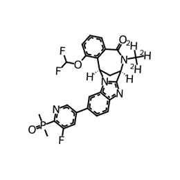 [2H]C([2H])([2H])N1C(=O)c2cccc(OC(F)F)c2[C@H]2C[C@@H]1c1nc3ccc(-c4cnc(P(C)(C)=O)c(F)c4)cc3n12